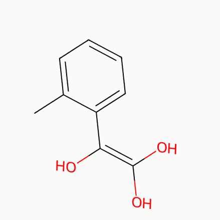 Cc1ccccc1C(O)=C(O)O